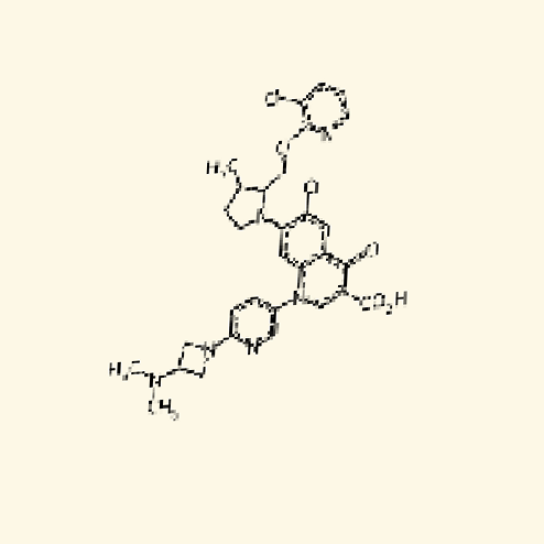 CC1CCN(c2cc3c(cc2Cl)c(=O)c(C(=O)O)cn3-c2ccc(N3CC(N(C)C)C3)nc2)C1COc1ncccc1Cl